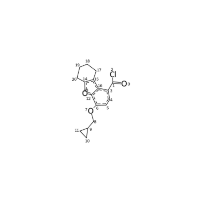 O=C(Cl)c1ccc(OCC2CC2)c2oc3c(c12)CCCC3